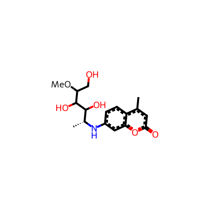 COC(CO)C(O)C(O)[C@@H](C)Nc1ccc2c(C)cc(=O)oc2c1